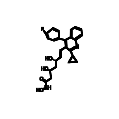 O=C(C[C@H](O)C[C@H](O)/C=C/c1c(C2CC2)nc2ccccc2c1-c1ccc(F)cc1)NO